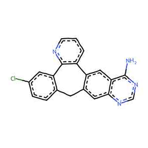 Nc1ncnc2cc3c(cc12)-c1cccnc1-c1cc(Cl)ccc1C3